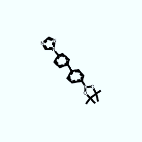 CC1(C)OB(c2ccc(-c3ccc(-n4cncn4)cc3)cc2)OC1(C)C